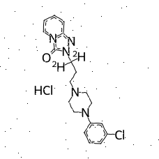 Cl.[2H]C([2H])(CCN1CCN(c2cccc(Cl)c2)CC1)n1nc2ccccn2c1=O